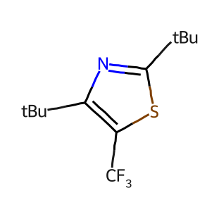 CC(C)(C)c1nc(C(C)(C)C)c(C(F)(F)F)s1